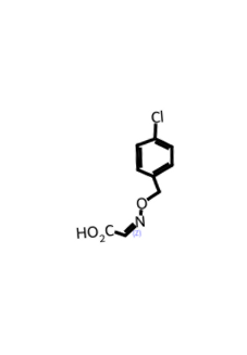 O=C(O)/C=N\OCc1ccc(Cl)cc1